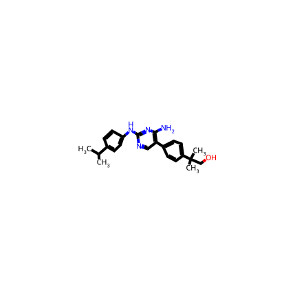 CC(C)c1ccc(Nc2ncc(-c3ccc(C(C)(C)CO)cc3)c(N)n2)cc1